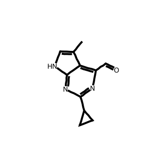 Cc1c[nH]c2nc(C3CC3)nc(C=O)c12